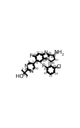 CC(C)(O)c1ncc(-c2cc3c(cc2F)nc2n3[C@@H](c3c(F)cccc3Cl)C[C@H]2N)cn1